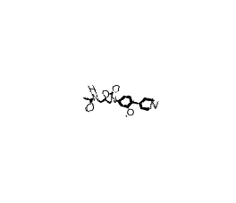 COc1cc(N2CC(CNC(C)=O)OC2=O)ccc1-c1ccncc1